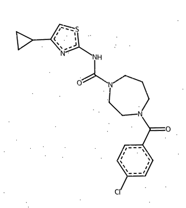 O=C(Nc1nc(C2CC2)cs1)N1CCCN(C(=O)c2ccc(Cl)cc2)CC1